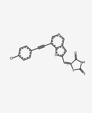 O=C1NC(=S)S/C1=C/c1cc2cncc(C#Cc3ccc(Cl)cc3)c2o1